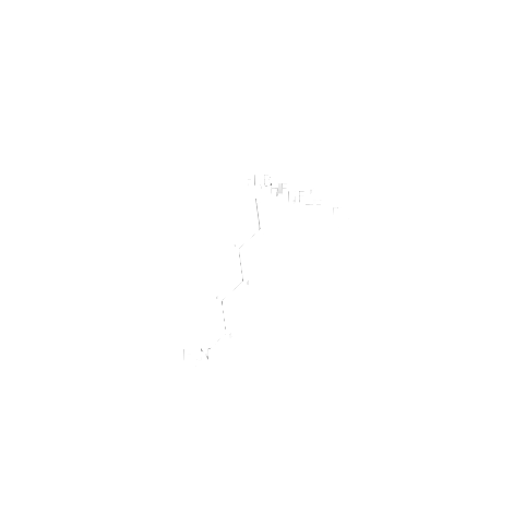 B.CCCCCCN.F.F.F.F